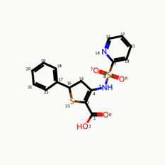 O=C(O)C1=C(NS(=O)(=O)c2ccccn2)CC(c2ccccc2)S1